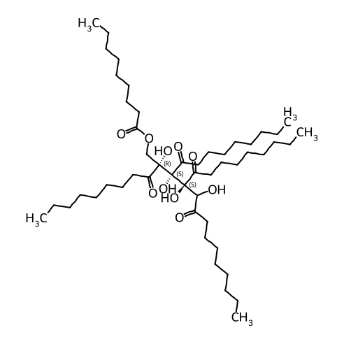 CCCCCCCCC(=O)OC[C@](O)(C(=O)CCCCCCCC)[C@@](O)(C(=O)CCCCCCCC)[C@](O)(C(=O)CCCCCCCC)C(O)C(=O)CCCCCCCC